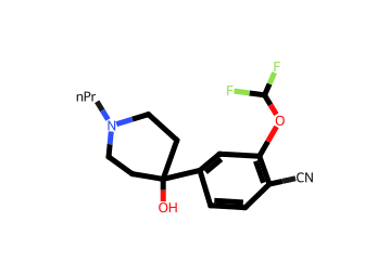 CCCN1CCC(O)(c2ccc(C#N)c(OC(F)F)c2)CC1